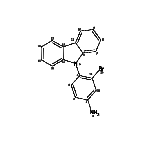 Nc1ccc(-n2c3ccccc3c3ccccc32)c(Br)c1